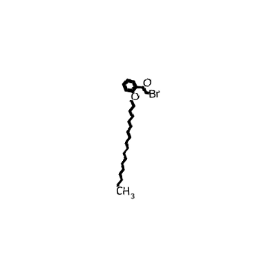 CCCCCCCCCCCCCCCCCCOc1ccccc1C(=O)CBr